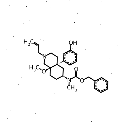 C=CCN1CC[C@@]2(c3cccc(O)c3)C[C@@H](N(C)C(=O)OCc3ccccc3)CC[C@]2(OC)C1